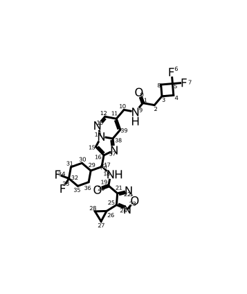 O=C(CC1CC(F)(F)C1)NCc1cnn2cc([C@@H](NC(=O)c3nonc3C3CC3)C3CCC(F)(F)CC3)nc2c1